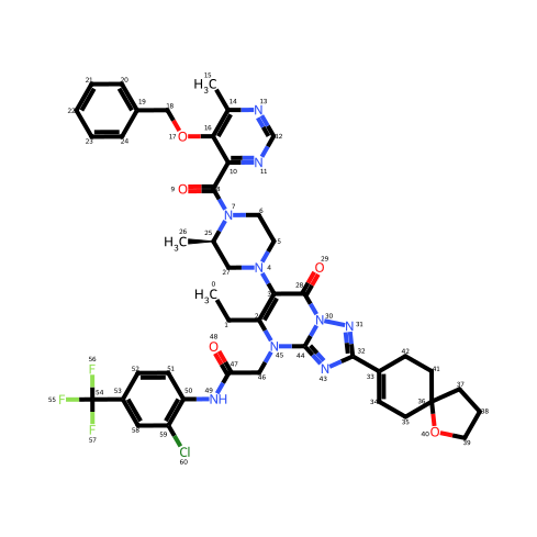 CCc1c(N2CCN(C(=O)c3ncnc(C)c3OCc3ccccc3)[C@H](C)C2)c(=O)n2nc(C3=CCC4(CCCO4)CC3)nc2n1CC(=O)Nc1ccc(C(F)(F)F)cc1Cl